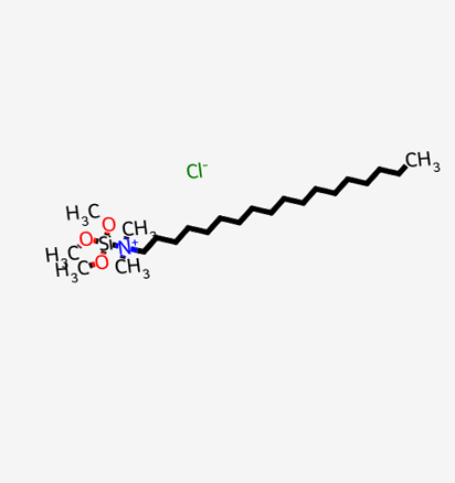 CCCCCCCCCCCCCCCCCC[N+](C)(C)[Si](OC)(OC)OC.[Cl-]